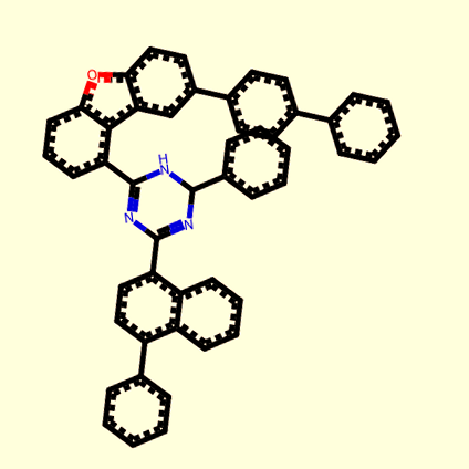 c1ccc(-c2ccc(-c3ccc4oc5cccc(C6=NC(c7ccc(-c8ccccc8)c8ccccc78)=NC(c7ccccc7)N6)c5c4c3)cc2)cc1